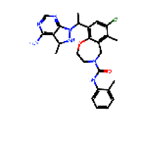 Cc1ccccc1NC(=O)N1CCOc2c(C(C)N3NC(C)c4c(N)ncnc43)cc(Cl)c(C)c2C1